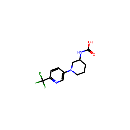 O=C(O)NC1CCCN(c2ccc(C(F)(F)F)nc2)C1